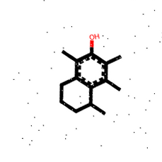 Cc1c(C)c2c(c(C)c1O)CCCC2C